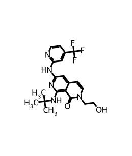 CC(C)(C)Nc1nc(Nc2cc(C(F)(F)F)ccn2)cc2ccn(CCO)c(=O)c12